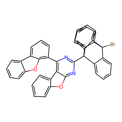 BrC12c3ccccc3C(c3nc(-c4cccc5c4oc4ccccc45)c4c(n3)oc3ccccc34)(c3ccccc31)c1ccccc12